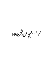 CCCCCC(=O)COC(=O)NO